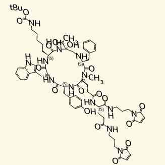 C[C@@H](O)C1(O)CN[C@@H](Cc2ccccc2)C(=O)N(C)[C@@H](CCC(=O)N[C@@H](CCC(=O)NCCCN2C(=O)C=CC2=O)C(=O)NCCCN2C(=O)C=CC2=O)C(=O)N[C@@H](Cc2ccc(O)cc2)C(=O)N[C@H](Cc2c[nH]c3ccccc23)C(=O)N[C@@H](CCCCCNC(=O)OC(C)(C)C)C(=O)N1